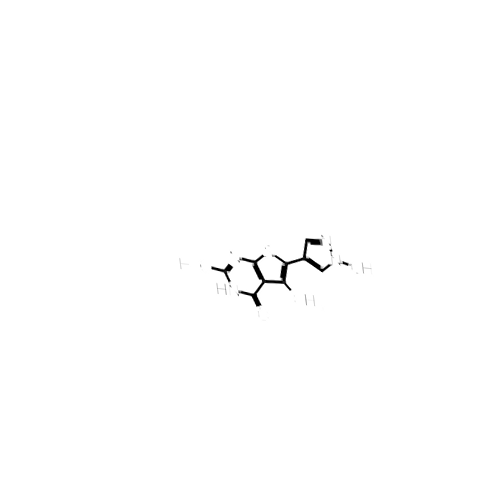 Cc1nc2sc(-c3cnn(C)c3)c(C)c2c(=O)[nH]1